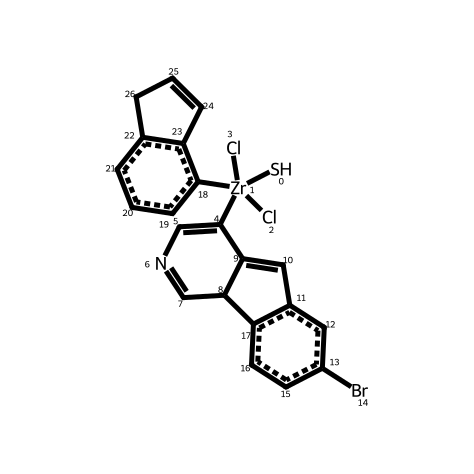 [SH][Zr]([Cl])([Cl])([C]1=CN=CC2C1=Cc1cc(Br)ccc12)[c]1cccc2c1C=CC2